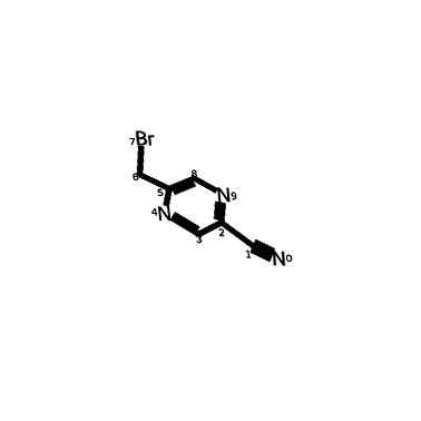 N#Cc1cnc(CBr)cn1